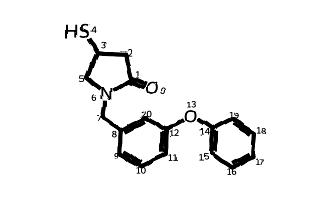 O=C1CC(S)CN1Cc1cccc(Oc2ccccc2)c1